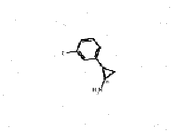 N[C@@H]1CC1c1cccc(Cl)c1